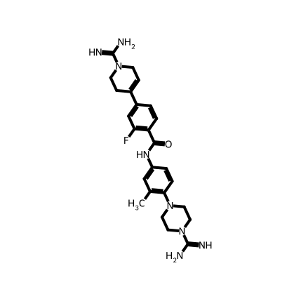 Cc1cc(NC(=O)c2ccc(C3=CCN(C(=N)N)CC3)cc2F)ccc1N1CCN(C(=N)N)CC1